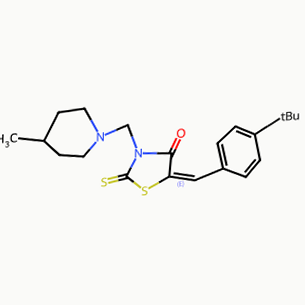 CC1CCN(CN2C(=O)/C(=C\c3ccc(C(C)(C)C)cc3)SC2=S)CC1